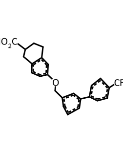 O=C(O)C1CCc2cc(OCc3cccc(-c4ccc(C(F)(F)F)cc4)c3)ccc2C1